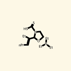 CCCC=C(CC)C1OCCN1C(=S)S.CCN(CC)CC